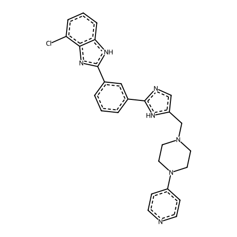 Clc1cccc2[nH]c(-c3cccc(-c4ncc(CN5CCN(c6ccncc6)CC5)[nH]4)c3)nc12